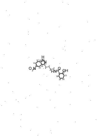 O=C(NCCCCc1n[nH]c2ccc([N+](=O)[O-])cc12)c1ccccc1O